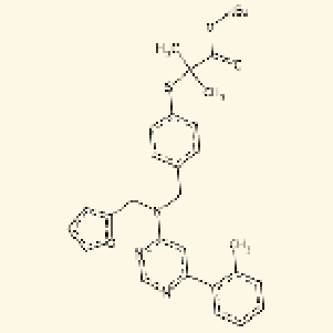 Cc1ccccc1-c1cc(N(Cc2ccc(SC(C)(C)C(=O)OC(C)(C)C)cc2)Cc2ccco2)ncn1